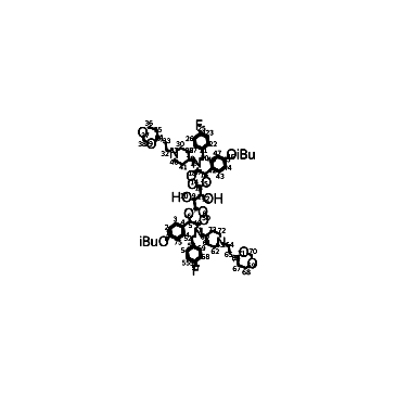 CC(C)COc1ccc(C(OC(=O)C(O)C(O)C(=O)OC(C(=O)N(Cc2ccc(F)cc2)C2CCN(CC[C@H]3CCOCO3)CC2)c2ccc(OCC(C)C)cc2)C(=O)N(Cc2ccc(F)cc2)C2CCN(CC[C@H]3CCOCO3)CC2)cc1